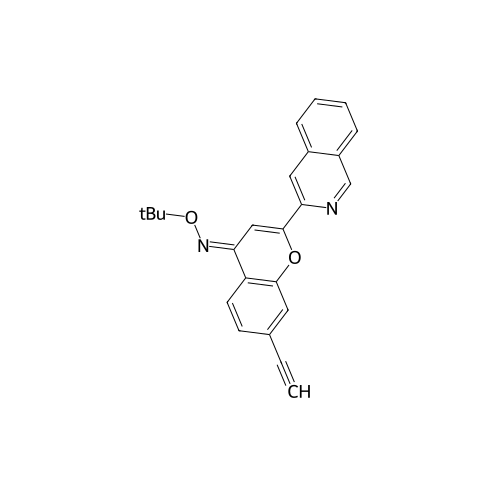 C#Cc1ccc2c(=NOC(C)(C)C)cc(-c3cc4ccccc4cn3)oc2c1